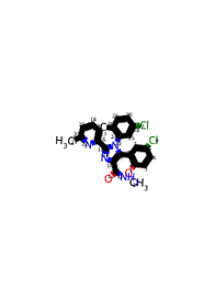 COc1ccc(Cl)cc1-c1c(C(N)=O)nc(-c2cccc(C)n2)n1-c1cc(Cl)ccc1C